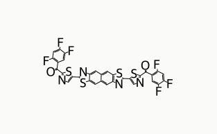 O=C(c1ncc(-c2nc3cc4cc5sc(-c6cnc(C(=O)c7cc(F)c(F)cc7F)s6)nc5cc4cc3s2)s1)c1cc(F)c(F)cc1F